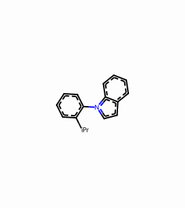 CC(C)c1ccccc1-n1ccc2ccccc21